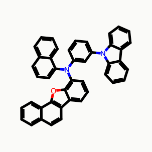 c1cc(N(c2cccc3ccccc23)c2cccc3c2oc2c4ccccc4ccc32)cc(-n2c3ccccc3c3ccccc32)c1